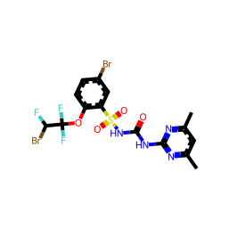 Cc1cc(C)nc(NC(=O)NS(=O)(=O)c2cc(Br)ccc2OC(F)(F)C(F)Br)n1